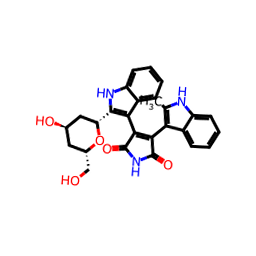 Cc1[nH]c2ccccc2c1C1=C(c2c([C@H]3C[C@H](O)C[C@@H](CO)O3)[nH]c3ccccc23)C(=O)NC1=O